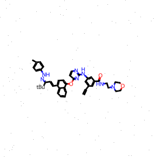 C#Cc1cc(Nc2nccc(Oc3ccc(C=C/C(=N\Nc4ccc(C)cc4)C(C)(C)C)c4ccccc34)n2)cc(C(=O)NCCN2CCOCC2)c1